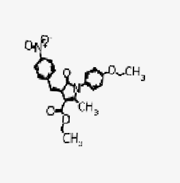 CCOC(=O)C1=C(C)N(c2ccc(OCC)cc2)C(=O)/C1=C\c1ccc([N+](=O)[O-])cc1